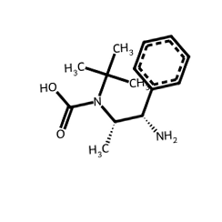 C[C@@H]([C@@H](N)c1ccccc1)N(C(=O)O)C(C)(C)C